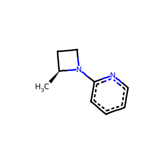 C[C@H]1CCN1c1ccccn1